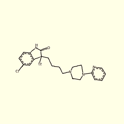 CCC1(CCCCN2CCN(c3ccccn3)CC2)C(=O)Nc2ccc(Cl)cc21